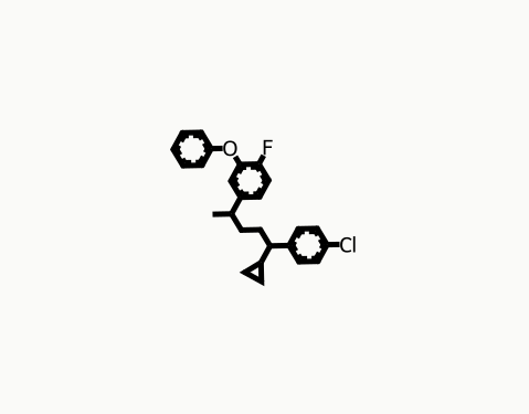 CC(CCC(c1ccc(Cl)cc1)C1CC1)c1ccc(F)c(Oc2ccccc2)c1